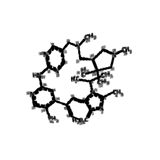 C=c1nc(C)n(C(C)C)/c1=C/C(=C\C)c1cc(Nc2ncc(CN(C)C[C@H]3CN(C)CC3(C)C)cn2)ncc1P